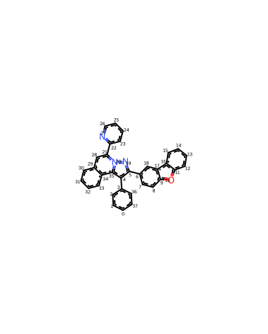 c1ccc(-c2c(-c3ccc4oc5ccccc5c4c3)nn3c(-c4ccccn4)cc4ccccc4c23)cc1